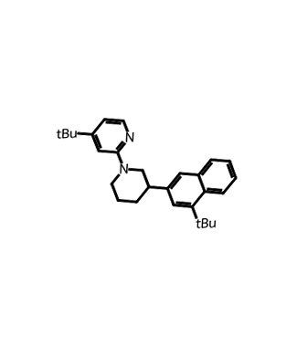 CC(C)(C)c1ccnc(N2CCCC(c3cc(C(C)(C)C)c4ccccc4c3)C2)c1